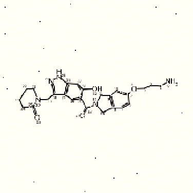 NCCCOc1ccc2c(c1)CN(C(=O)c1cc3c(CN4CCCCC4=O)n[nH]c3cc1O)C2